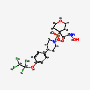 O=C(NO)C1(S(=O)(=O)N2CCC(c3ccc(OC(F)(F)C(F)F)cc3)CC2)CCOCC1